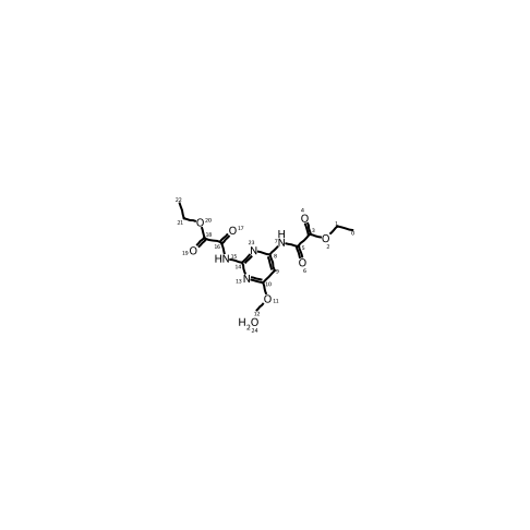 CCOC(=O)C(=O)Nc1cc(OC)nc(NC(=O)C(=O)OCC)n1.O